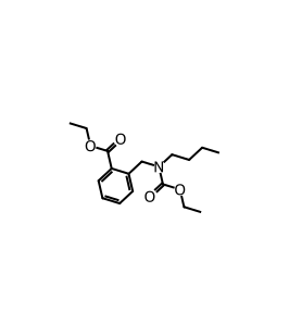 CCCCN(Cc1ccccc1C(=O)OCC)C(=O)OCC